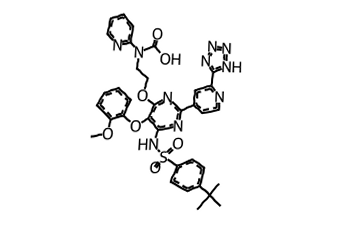 COc1ccccc1Oc1c(NS(=O)(=O)c2ccc(C(C)(C)C)cc2)nc(-c2ccnc(-c3nnn[nH]3)c2)nc1OCCN(C(=O)O)c1ccccn1